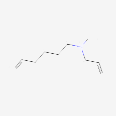 C=CCCCCN(C)CC=C